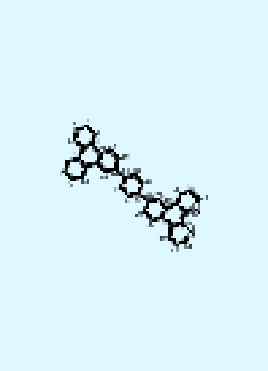 c1ccc2c(c1)c1ccccc1c1cc(-c3ccc(-c4ccc5c(c4)c4cccnc4c4ncccc54)cc3)ccc21